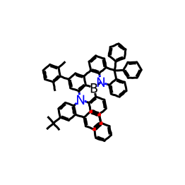 Cc1cccc(C)c1-c1cc2c3c(c1)N(c1ccc(C(C)(C)C)cc1-c1ccccc1)c1cc(-c4ccccc4)ccc1B3N1c3ccccc3C(c3ccccc3)(c3ccccc3)c3cccc-2c31